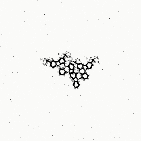 CC(C)(C)C1=CC2c3cc(C(C)(C)C)ccc3N3c4cccc5c4B(C(=C1)C23)c1c2c3cccc4c3n(c2cc2c3ccccc3n-5c12)-c1cccc2c1B4c1cc(C(C)(C)C)cc3c4cc(C(C)(C)C)ccc4n-2c13